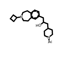 CC(=O)N1CCC(CC(O)Cc2ccc3c(c2)CCN(C2CCC2)CC3)CC1